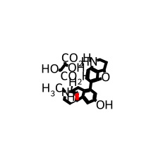 CN1CC[C@]23CCCC[C@H]2[C@H]1Cc1c(-c2ccc4c5c2OC5CCN4)cc(O)cc13.O=C(O)C(O)C(O)C(=O)O